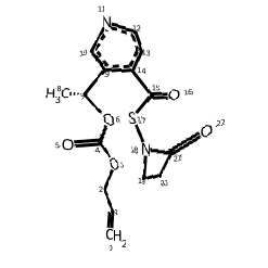 C=CCOC(=O)O[C@H](C)c1cnccc1C(=O)SN1CCC1=O